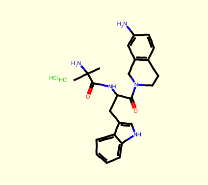 CC(C)(N)C(=O)NC(Cc1c[nH]c2ccccc12)C(=O)N1CCc2ccc(N)cc2C1.Cl.Cl